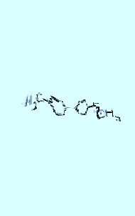 [CH2]c1ccc(-c2ccc(SC)cc2)cc1